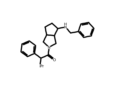 CC(C)C(C(=O)N1CC2CCC(NCc3ccccc3)C2C1)c1ccccc1